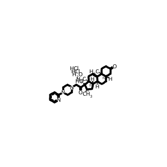 C[C@H]1C[C@H]2[C@@H]3CC[C@H]4CC(=O)CC[C@]4(C)C3=CC[C@]2(C)[C@@]1(O)C(=O)CN1CCN(c2ccccn2)CC1.Cl.Cl.O